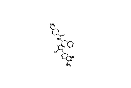 NC[C@H]1CC[C@H](C(=O)NC(Cc2ccccc2)c2nc(-c3ccc4c(N)n[nH]c4c3)c(Cl)[nH]2)CC1